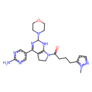 Cn1nccc1CCCC(=O)N1CCC2=C1NC(N1CCOCC1)N=C2c1cnc(N)nc1